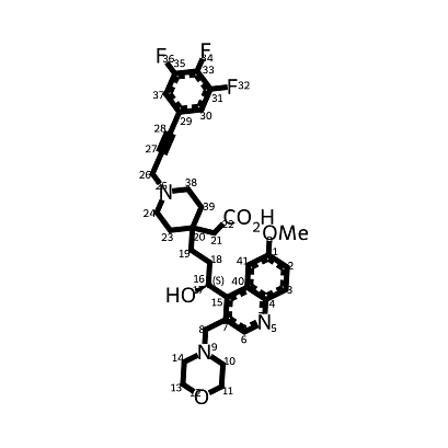 COc1ccc2ncc(CN3CCOCC3)c([C@@H](O)CCC3(CC(=O)O)CCN(CC#Cc4cc(F)c(F)c(F)c4)CC3)c2c1